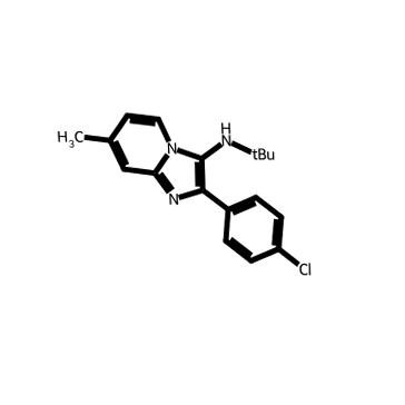 Cc1ccn2c(NC(C)(C)C)c(-c3ccc(Cl)cc3)nc2c1